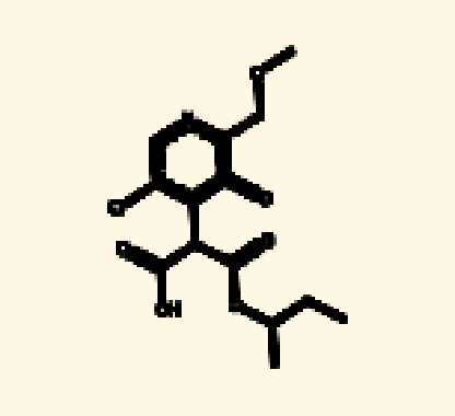 CCC(C)OC(=O)C(C(=O)O)c1c(Cl)cnn(COC)c1=O